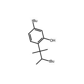 CC(C(C)(C)C)C(C)(C)c1ccc(C(C)(C)C)cc1O